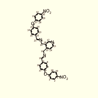 O=[N+]([O-])c1ccc(Oc2ccc(C=NCc3ccncc3CN=Cc3ccc(Oc4ccc([N+](=O)[O-])cc4)cc3)cc2)cc1